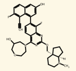 C#Cc1c(F)ccc2cc(O)cc(-c3ccc4c(N5CCOCC(O)C5)nc(OC[C@]56CCC[C@H]5N(C)CCC6)nc4c3F)c12